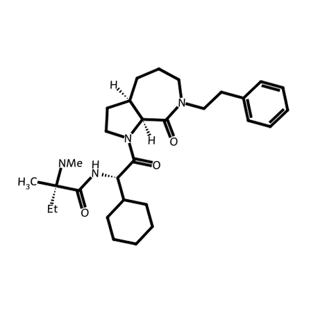 CC[C@](C)(NC)C(=O)N[C@H](C(=O)N1CC[C@H]2CCCN(CCc3ccccc3)C(=O)[C@H]21)C1CCCCC1